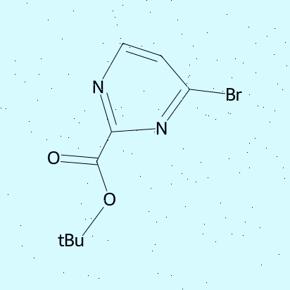 CC(C)(C)OC(=O)c1nccc(Br)n1